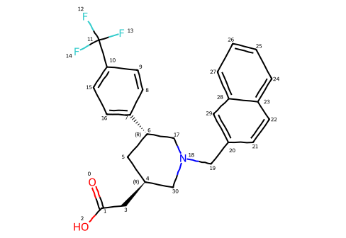 O=C(O)C[C@H]1C[C@H](c2ccc(C(F)(F)F)cc2)CN(Cc2ccc3ccccc3c2)C1